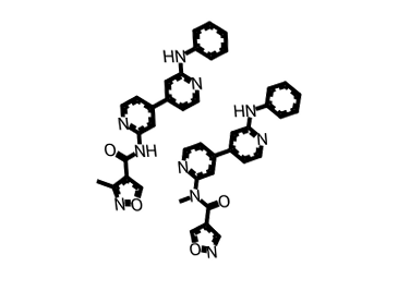 CN(C(=O)c1cnoc1)c1cc(-c2ccnc(Nc3ccccc3)c2)ccn1.Cc1nocc1C(=O)Nc1cc(-c2ccnc(Nc3ccccc3)c2)ccn1